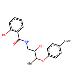 COc1ccc(OC(C(O)CNC(=O)c2ccccc2O)C(C)(C)C)cc1